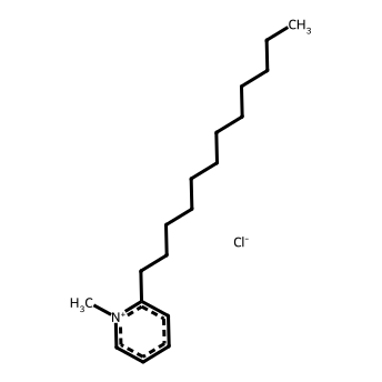 CCCCCCCCCCCCc1cccc[n+]1C.[Cl-]